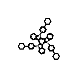 c1ccc2c(c1)c1c(c3c4ccccc4n(-c4ccc(C5CCCCC5)cc4)c3c3c4ccccc4n(-c4ccc(C5CCCCC5)cc4)c13)n2-c1ccc(C2CCCCC2)cc1